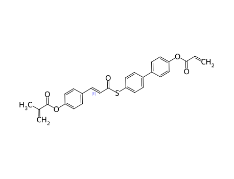 C=CC(=O)Oc1ccc(-c2ccc(SC(=O)/C=C/c3ccc(OC(=O)C(=C)C)cc3)cc2)cc1